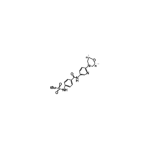 C[C@@H]1CN(c2ccc(NC(=O)c3ccc(NS(=O)(=O)C(C)(C)C)cc3)cn2)C[C@H](C)O1